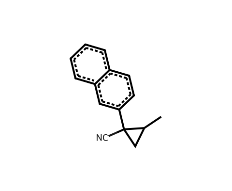 CC1CC1(C#N)c1ccc2ccccc2c1